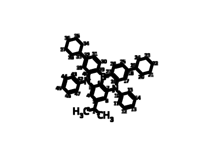 CC(C)c1cc2c3c(c1)N(c1ccccc1)c1cc(C4CCCCC4)ccc1B3c1ccc(C3CCCCC3)cc1N2c1ccccc1